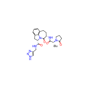 CC[C@H](C)[C@@H](C(=O)N[C@H]1CCc2cccc3c2N(C1=O)[C@H](C(=O)NCc1c[nH]nn1)C3)N1CCCC1=O